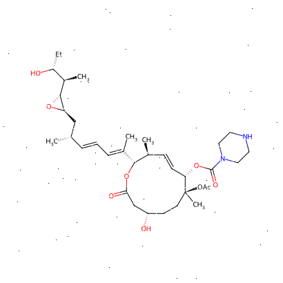 CC[C@@H](O)[C@@H](C)[C@H]1O[C@@H]1C[C@@H](C)/C=C/C=C(\C)[C@H]1OC(=O)C[C@@H](O)CC[C@](C)(OC(C)=O)[C@@H](OC(=O)N2CCNCC2)/C=C/[C@@H]1C